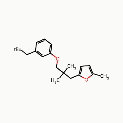 Cc1ccc(CC(C)(C)COc2cccc(CC(C)(C)C)c2)o1